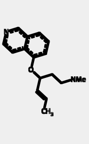 CC=CC(CCNC)Oc1cccc2cnccc12